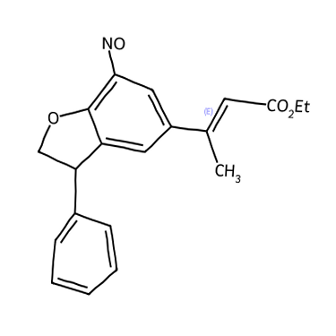 CCOC(=O)/C=C(\C)c1cc(N=O)c2c(c1)C(c1ccccc1)CO2